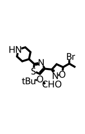 CC(Br)C1CC(c2csc(C3CCNCC3)n2)=NO1.CC(C)(C)OC=O